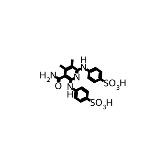 Cc1c(Nc2ccc(S(=O)(=O)O)cc2)nc(Nc2ccc(S(=O)(=O)O)cc2)c(C(N)=O)c1C